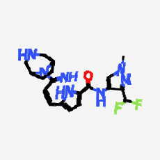 Cn1cc(NC(=O)c2ccc(/C=C\C(=N)N3C4CCC3CNC4)[nH]2)c(C(F)F)n1